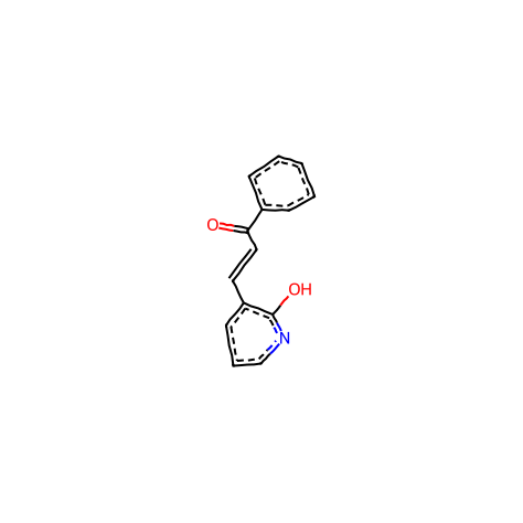 O=C(C=Cc1cccnc1O)c1ccccc1